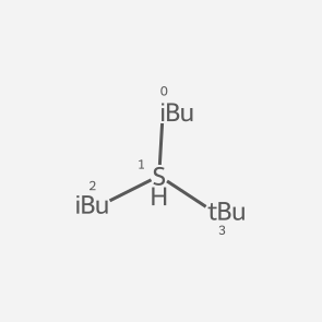 CCC(C)[SH](C(C)CC)C(C)(C)C